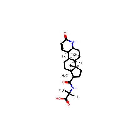 CC(C)(NC(=O)C1CC[C@H]2[C@@H]3CCC4NC(=O)C=C[C@]4(C)[C@@H]3CC[C@]12C)C(=O)O